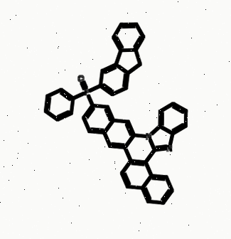 O=P(c1ccccc1)(c1ccc2c(c1)-c1ccccc1C2)c1ccc2cc3c4ccc5ccccc5c4c4nc5ccccc5n4c3cc2c1